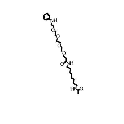 CC(=O)NCCCCCCCCNC(=O)CCOCCOCCOCCOCCNc1ccccc1